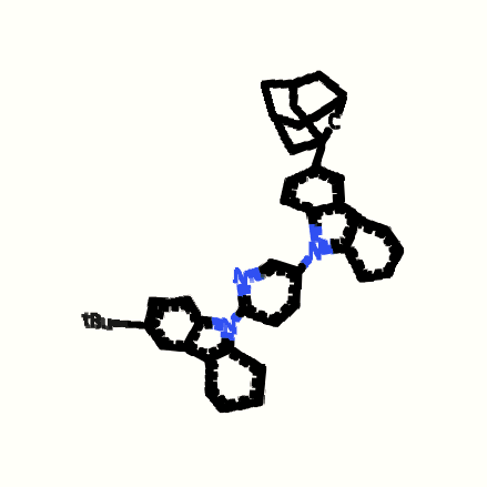 CC(C)(C)c1ccc2c(c1)c1ccccc1n2-c1ccc(-n2c3ccccc3c3cc(C45CC6CC(CC(C6)C4)C5)ccc32)cn1